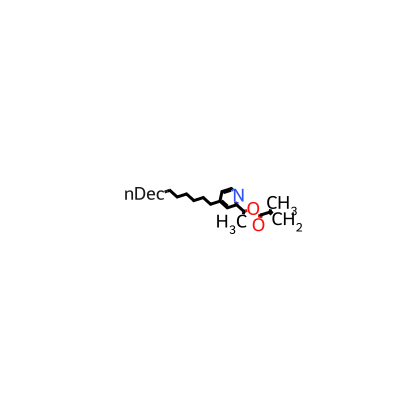 C=C(C)C(=O)OC(C)c1cc(CCCCCCCCCCCCCCCC)ccn1